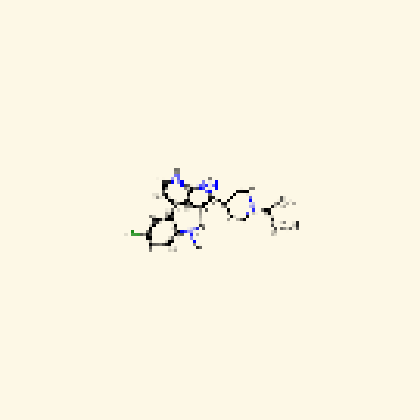 CN1Cc2c(C3CCN(C(C(=O)O)C(C)(C)C)CC3)[nH]c3nccc(c23)-c2cc(F)ccc21